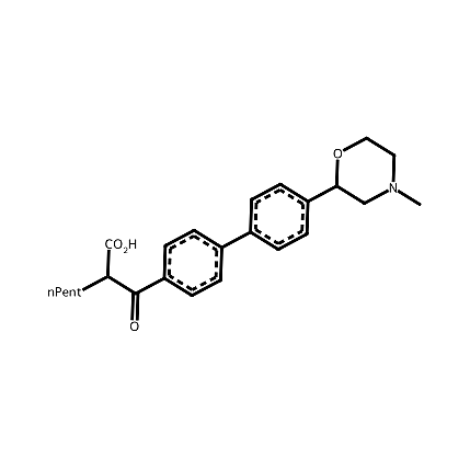 CCCCCC(C(=O)O)C(=O)c1ccc(-c2ccc(C3CN(C)CCO3)cc2)cc1